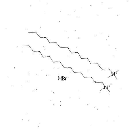 Br.CCCCCCCCCCCCCCCC[N+](C)(C)C.CCCCCCCCCCCCCCCC[N+](C)(C)C